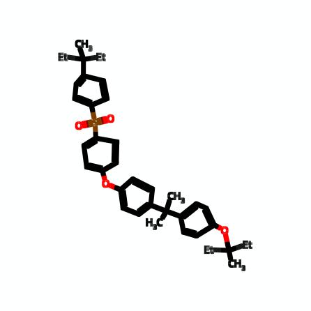 CCC(C)(CC)Oc1ccc(C(C)(C)c2ccc(Oc3ccc(S(=O)(=O)c4ccc(C(C)(CC)CC)cc4)cc3)cc2)cc1